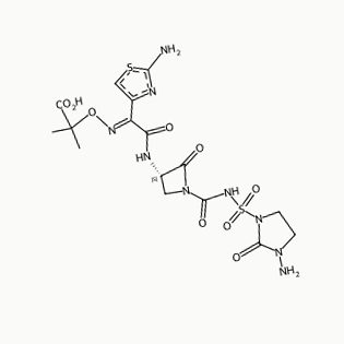 CC(C)(ON=C(C(=O)N[C@H]1CN(C(=O)NS(=O)(=O)N2CCN(N)C2=O)C1=O)c1csc(N)n1)C(=O)O